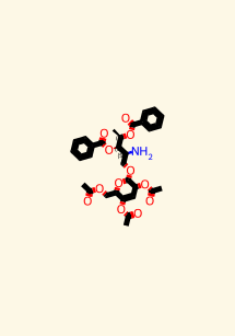 CC(=O)OCC1OC(OC[C@H](N)[C@H](OC(=O)c2ccccc2)[C@@H](C)OC(=O)c2ccccc2)C(OC(C)=O)C=C1OC(C)=O